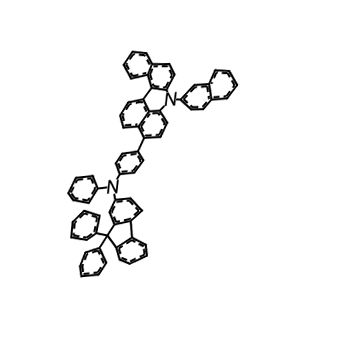 c1ccc(N(c2ccc(-c3ccc4c5c(cccc35)-c3c(ccc5ccccc35)N4c3ccc4ccccc4c3)cc2)c2ccc3c(c2)C(c2ccccc2)(c2ccccc2)c2ccccc2-3)cc1